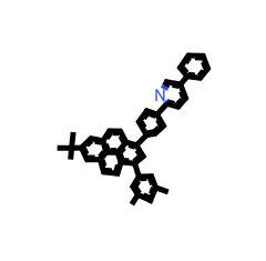 Cc1cc(C)cc(-c2cc(-c3ccc(-c4ccc(-c5ccccc5)cn4)cc3)c3ccc4cc(C(C)(C)C)cc5ccc2c3c45)c1